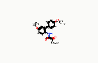 COC(=O)C(=O)Nc1ccc(OC(C)C)cc1-c1ccc(OC(F)(F)F)cc1